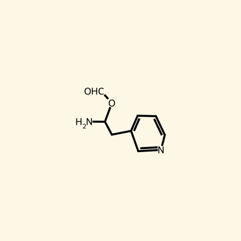 NC(Cc1cccnc1)OC=O